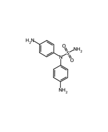 Nc1ccc(N(c2ccc(N)cc2)S(N)(=O)=O)cc1